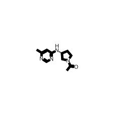 CC(=O)N1CC[C@@H](Nc2cc(C)ncn2)C1